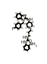 Nc1ccccc1NC(=O)NSCCN1CCC(Nc2nc3ccccc3n2Cc2ccc(F)cc2)CC1